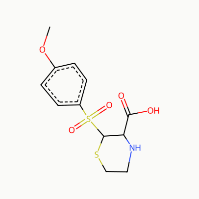 COc1ccc(S(=O)(=O)C2SCCNC2C(=O)O)cc1